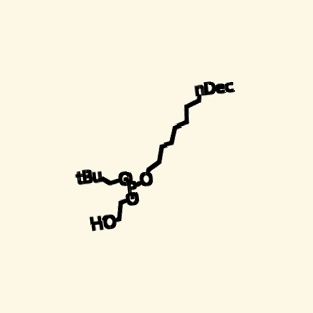 CCCCCCCCCCCCCCCCCCOP(OCCO)OCC(C)(C)C